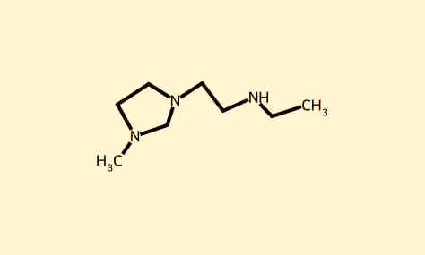 CCNCCN1CCN(C)C1